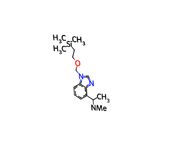 CNC(C)c1cccc2c1ncn2COCC[Si](C)(C)C